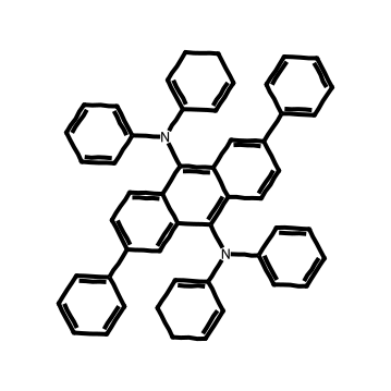 C1=CC(N(c2ccccc2)c2c3ccc(-c4ccccc4)cc3c(N(C3=CCCC=C3)c3ccccc3)c3ccc(-c4ccccc4)cc23)=CCC1